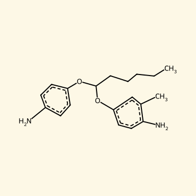 CCCCCC(Oc1ccc(N)cc1)Oc1ccc(N)c(C)c1